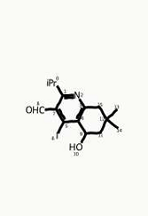 CC(C)c1nc2c(c(I)c1C=O)C(O)CC(C)(C)C2